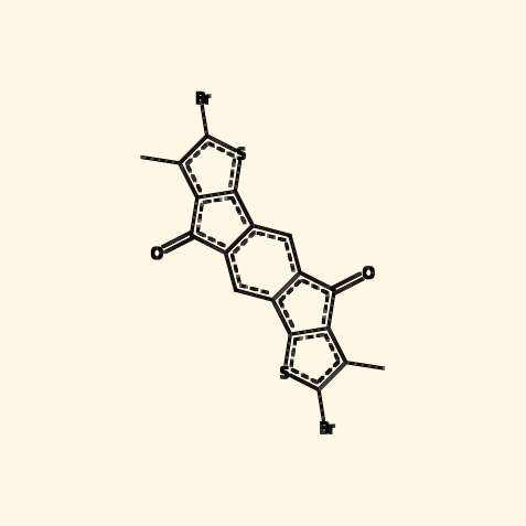 Cc1c(Br)sc2c1c(=O)c1cc3c(cc12)c(=O)c1c(C)c(Br)sc13